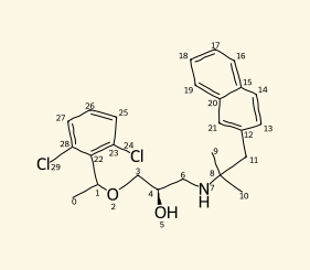 CC(OC[C@H](O)CNC(C)(C)Cc1ccc2ccccc2c1)c1c(Cl)cccc1Cl